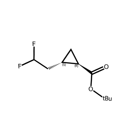 CC(C)(C)OC(=O)[C@@H]1C[C@H]1CC(F)F